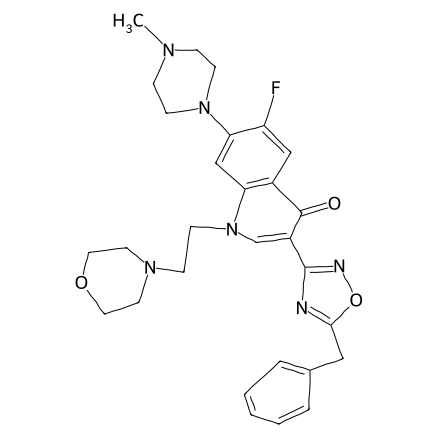 CN1CCN(c2cc3c(cc2F)c(=O)c(-c2noc(Cc4ccccc4)n2)cn3CCN2CCOCC2)CC1